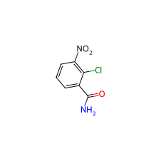 NC(=O)c1cccc([N+](=O)[O-])c1Cl